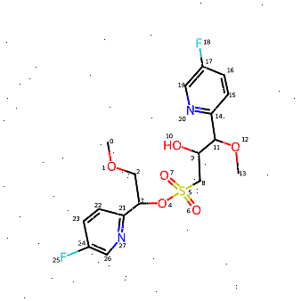 COCC(OS(=O)(=O)CC(O)C(OC)c1ccc(F)cn1)c1ccc(F)cn1